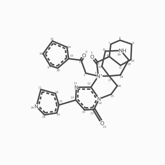 O=C(C[N+]1(C(=O)C2CCCCC2)c2nc(-c3ccncc3)cc(=O)n2CCC12CCNCC2)c1ccccc1